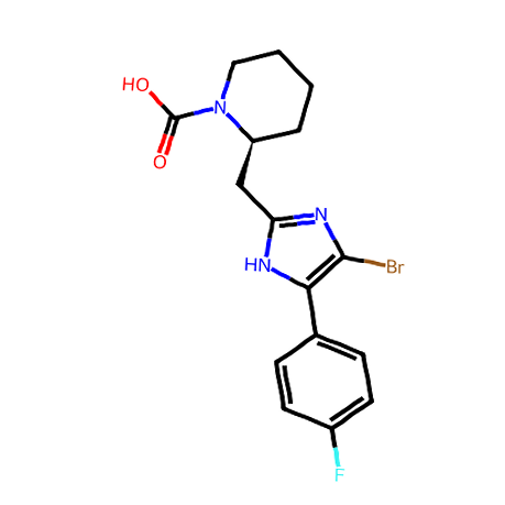 O=C(O)N1CCCC[C@H]1Cc1nc(Br)c(-c2ccc(F)cc2)[nH]1